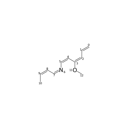 C=C\C=C(/C=C\N=C/C=C\C)OC